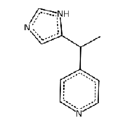 CC(c1ccncc1)c1cnc[nH]1